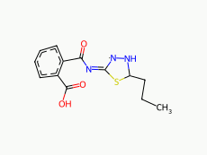 CCCC1N[N]C(=NC(=O)c2ccccc2C(=O)O)S1